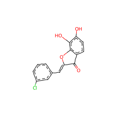 O=C1C(=Cc2cccc(Cl)c2)Oc2c1ccc(O)c2O